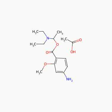 CC(=O)O.CCN(CC)C(C)OC(=O)c1ccc(N)cc1OC